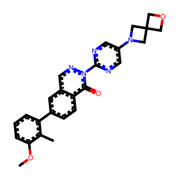 COc1cccc(-c2ccc3c(=O)n(-c4ncc(N5CC6(COC6)C5)cn4)ncc3c2)c1C